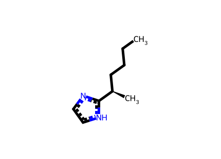 CCCC[C@@H](C)c1ncc[nH]1